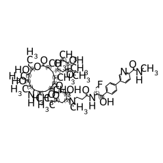 CC[C@H]1OC(=O)[C@H](C)C([C@H]2C[C@@](C)(OC)[C@@H](O)[C@H](C)O2)[C@H](C)[C@@H](O[C@@H]2O[C@H](C)C[C@H](N(C)CCC(=O)N[C@H](CF)[C@H](O)c3ccc(-c4ccc(C(=O)NC)nc4)cc3)[C@H]2O)[C@](C)(OC)C[C@@H](C)C(=N)[C@H](C)[C@@H](O)[C@]1(C)O